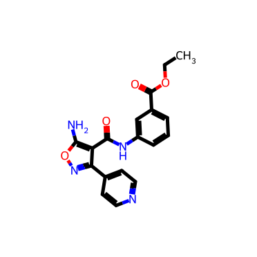 CCOC(=O)c1cccc(NC(=O)c2c(-c3ccncc3)noc2N)c1